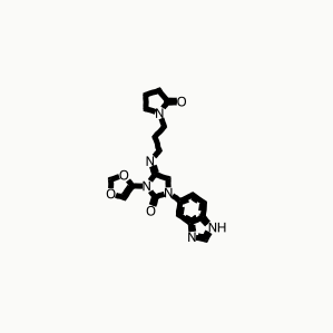 O=C1CCCN1CCCN=C1CN(c2ccc3[nH]cnc3c2)C(=O)N1C1=COCO1